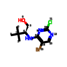 CC(C)(C)[C@H](CO)Nc1nc(Cl)ncc1Br